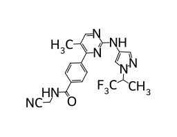 Cc1cnc(Nc2cnn(C(C)C(F)(F)F)c2)nc1-c1ccc(C(=O)NCC#N)cc1